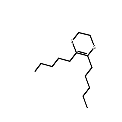 CCCCCC1=C(CCCCC)SCCS1